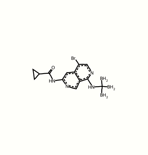 BC(B)(B)Nc1ncc(Br)c2cc(NC(=O)C3CC3)ncc12